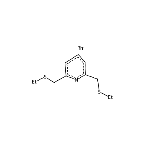 CCSCc1cccc(CSCC)n1.[Rh]